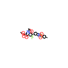 CCOC(=O)c1cn(C2CC2)c2c(OC)c(-c3ccc4c(c3)CN(S(=O)(=O)c3ccc(C)cc3)C4)c(F)cc2c1=O